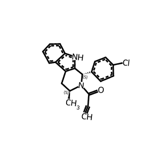 C#CC(=O)N1[C@@H](c2ccc(Cl)cc2)c2[nH]c3ccccc3c2C[C@@H]1C